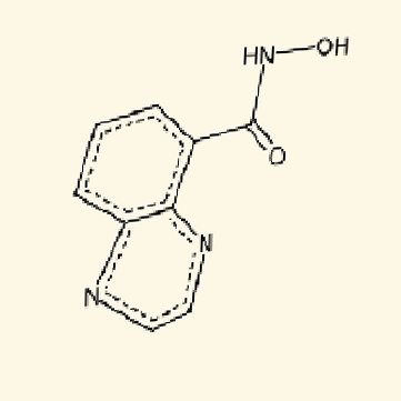 O=C(NO)c1cccc2nccnc12